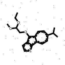 CCOC(COc1c2ccc(C(C)C)ccc-2c2sccc12)OC